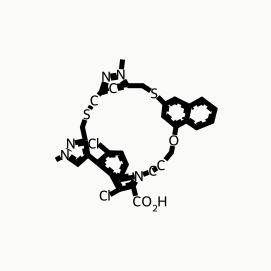 Cn1cc2c(n1)CSCc1cc(n(C)n1)CSc1cc(c3ccccc3c1)OCCCn1c(C(=O)O)c(Cl)c3c-2c(Cl)ccc31